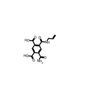 C=CCNC(=O)c1cc(C(N)=O)c(C(=O)O)cc1C(=O)O